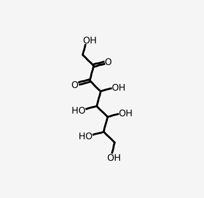 O=C(CO)C(=O)C(O)C(O)C(O)C(O)CO